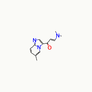 Cc1ccc2ncc(C(=O)/C=C/N(C)C)n2c1